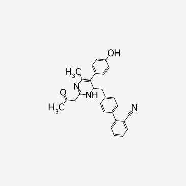 CC(=O)CC1=NC(C)=C(c2ccc(O)cc2)C(Cc2ccc(-c3ccccc3C#N)cc2)N1